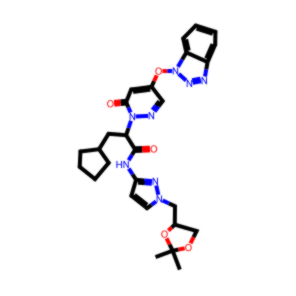 CC1(C)OCC(Cn2ccc(NC(=O)C(CC3CCCC3)n3ncc(On4nnc5ccccc54)cc3=O)n2)O1